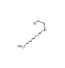 CC/C=C\C/C=C\C/C=C\C/C=C/CCC=CC=CC=CC(=O)O